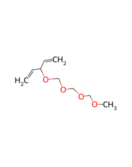 C=CC(C=C)OCOCOCOC